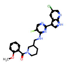 COc1ccccc1C(=O)N1CCCC(CNc2nc(-c3c[nH]c4ncc(Cl)cc34)ncc2F)C1